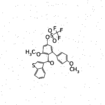 COc1ccc(-c2cc(OS(=O)(=O)C(F)(F)F)cc(OC)c2C(=O)c2csc3ccccc23)cc1